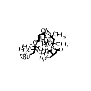 CC1CC(=O)N(C(C)(C)CC(C)(C)OC(C)(C)CCOC(C)(C)C(C)(C)CC(C)(C)C)C1=O